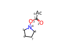 CC(=O)C(=O)ON1CCCC1